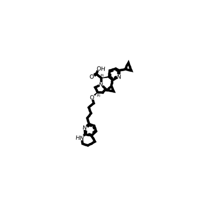 O=C(O)[C@@H](c1ccc(C2CC2)nc1C1CC1)N1CC[C@@H](OCCCCc2ccc3c(n2)NCCC3)C1